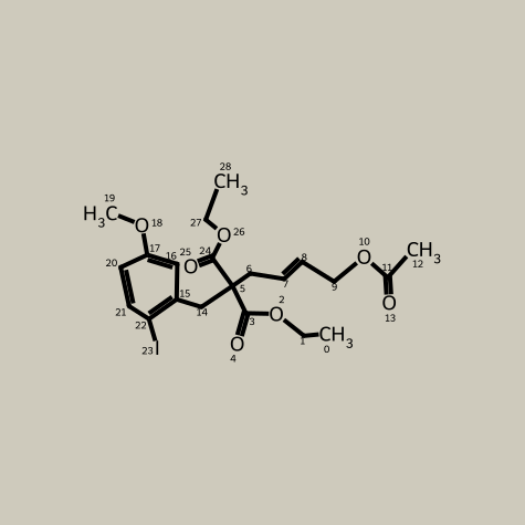 CCOC(=O)C(C/C=C/COC(C)=O)(Cc1cc(OC)ccc1I)C(=O)OCC